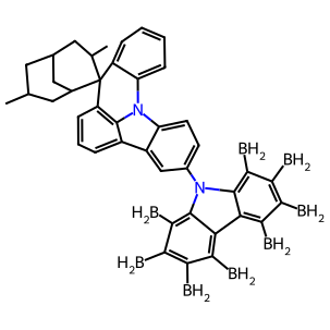 Bc1c(B)c(B)c2c(c1B)c1c(B)c(B)c(B)c(B)c1n2-c1ccc2c(c1)c1cccc3c1n2-c1ccccc1C31C(C)CC2CC(C)CC1C2